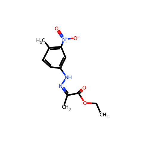 CCOC(=O)C(C)=NNc1ccc(C)c([N+](=O)[O-])c1